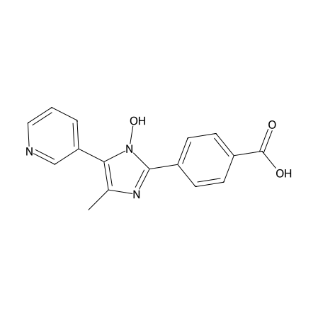 Cc1nc(-c2ccc(C(=O)O)cc2)n(O)c1-c1cccnc1